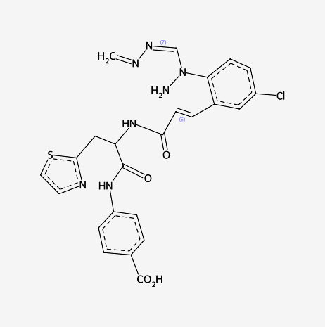 C=N/N=C\N(N)c1ccc(Cl)cc1/C=C/C(=O)NC(Cc1nccs1)C(=O)Nc1ccc(C(=O)O)cc1